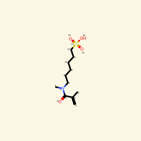 C=C(C)C(=O)N(C)CCCCCCS(=O)(=O)O